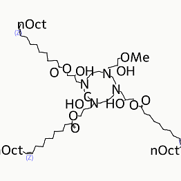 CCCCCCCC/C=C\CCCCCCCC(=O)OCC(O)CN1CCCN(CC(O)COC(=O)CCCCCCC/C=C\CCCCCCCC)CCN(CC(O)COC(=O)CCCCCCC/C=C\CCCCCCCC)CCCN(CC(O)COC)CC1